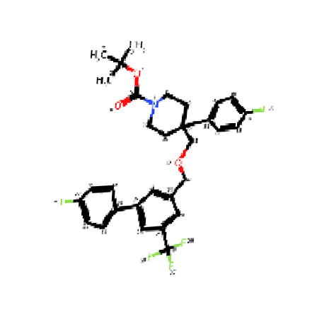 CC(C)(C)OC(=O)N1CCC(COCc2cc(-c3ccc(F)cc3)cc(C(F)(F)F)c2)(c2ccc(F)cc2)CC1